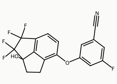 N#Cc1cc(F)cc(Oc2ccc3c4c2CCC4(O)C(F)(F)C3(F)F)c1